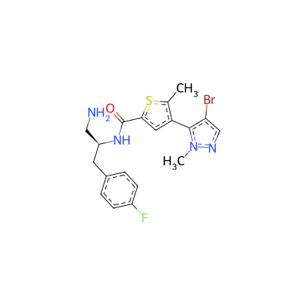 Cc1sc(C(=O)N[C@H](CN)Cc2ccc(F)cc2)cc1-c1c(Br)cnn1C